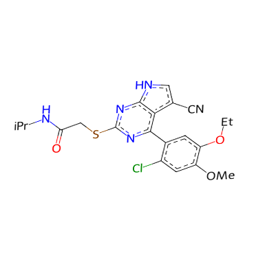 CCOc1cc(-c2nc(SCC(=O)NC(C)C)nc3[nH]cc(C#N)c23)c(Cl)cc1OC